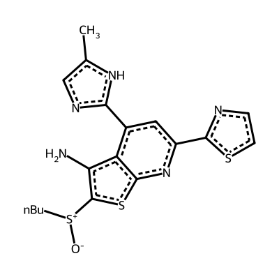 CCCC[S+]([O-])c1sc2nc(-c3nccs3)cc(-c3ncc(C)[nH]3)c2c1N